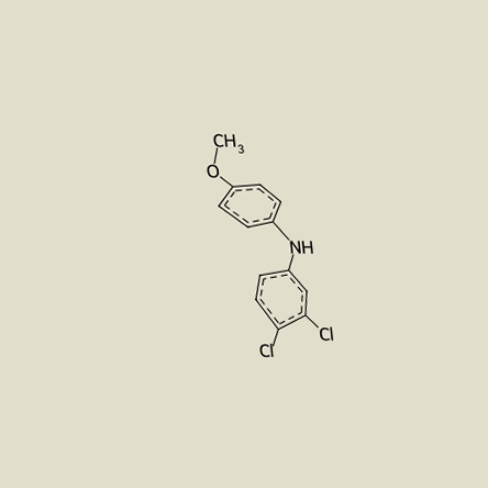 COc1ccc(Nc2ccc(Cl)c(Cl)c2)cc1